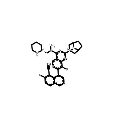 C#Cc1c(F)ccc2cncc(-c3ncc4c(N(C)C[C@H]5CCCCN5)nc(N5CC6CCC(C5)N6C)nc4c3F)c12